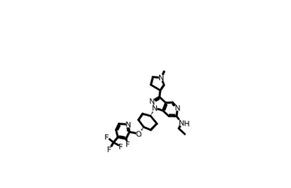 CCNc1cc2c(cn1)c(C1CCN(C)C1)nn2[C@H]1CC[C@@H](Oc2nccc(C(F)(F)F)c2F)CC1